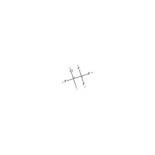 FC(F)(F)C(F)(Cl)I